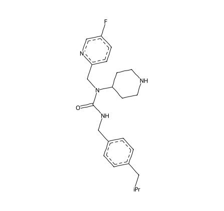 CC(C)Cc1ccc(CNC(=O)N(Cc2ccc(F)cn2)C2CCNCC2)cc1